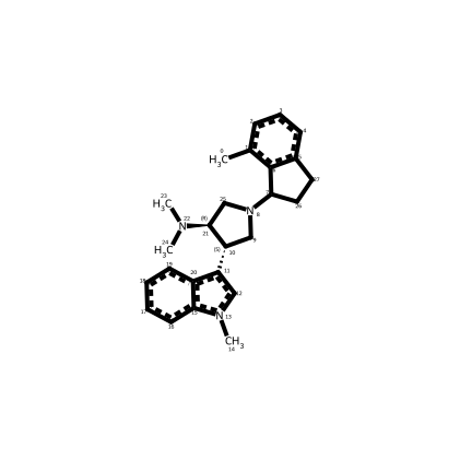 Cc1cccc2c1C(N1C[C@H](c3cn(C)c4ccccc34)[C@@H](N(C)C)C1)CC2